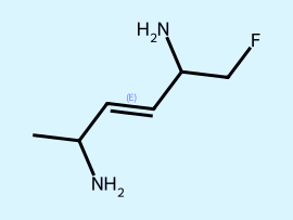 CC(N)/C=C/C(N)CF